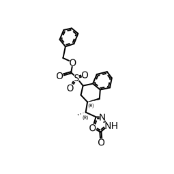 C[C@@H](c1n[nH]c(=O)o1)[C@@H]1Cc2ccccc2C(S(=O)(=O)C(=O)OCc2ccccc2)C1